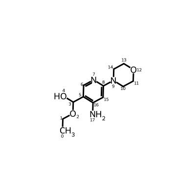 CCOC(O)c1cnc(N2CCOCC2)cc1N